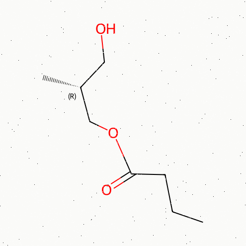 CCCC(=O)OC[C@H](C)CO